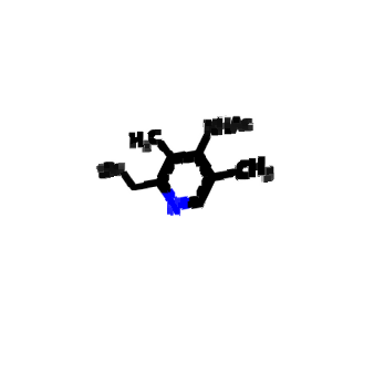 CC(=O)Nc1c(C)cnc(CC(C)(C)C)c1C